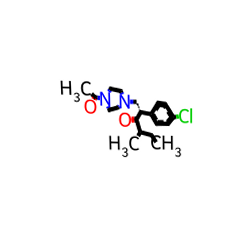 CCC(C)C(=O)[C@H](CN1CCN(C(C)=O)CC1)c1ccc(Cl)cc1